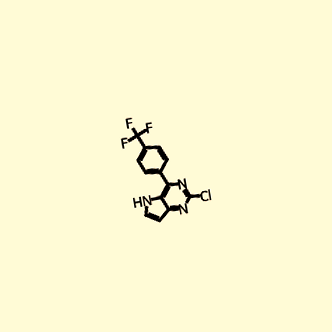 FC(F)(F)c1ccc(-c2nc(Cl)nc3cc[nH]c23)cc1